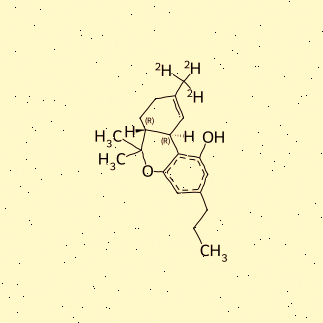 [2H]C([2H])([2H])C1=C[C@H]2c3c(O)cc(CCC)cc3OC(C)(C)[C@@H]2CC1